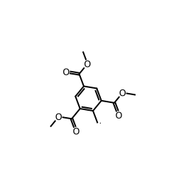 [CH2]c1c(C(=O)OC)cc(C(=O)OC)cc1C(=O)OC